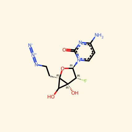 [N-]=[N+]=NCC[C@]12O[C@@H](n3ccc(N)nc3=O)[C@H](F)[C@@]1(O)C2O